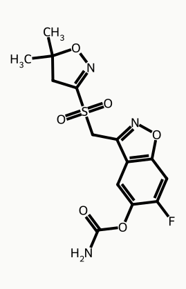 CC1(C)CC(S(=O)(=O)Cc2noc3cc(F)c(OC(N)=O)cc23)=NO1